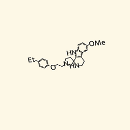 CCc1ccc(OCCN2CCC3(C2)NCCc2c3[nH]c3ccc(OC)cc23)cc1